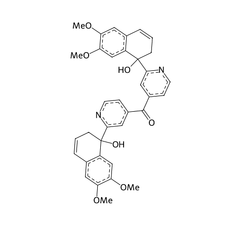 COc1cc2c(cc1OC)C(O)(c1cc(C(=O)c3ccnc(C4(O)CC=Cc5cc(OC)c(OC)cc54)c3)ccn1)CC=C2